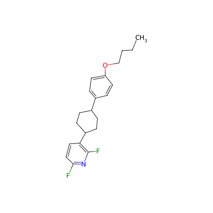 CCCCOc1ccc(C2CCC(c3ccc(F)nc3F)CC2)cc1